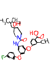 Cc1cc(Oc2cc(NC(=O)N3CCC(O)(CC(C)C)CC3)cc(Oc3ccc(F)cc3)c2)ccc1C(=O)O